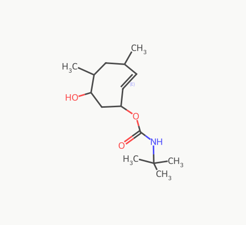 CC1/C=C/C(OC(=O)NC(C)(C)C)CC(O)C(C)C1